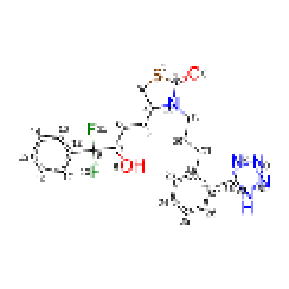 O=C1SCC(C=CC(O)C(F)(F)c2ccccc2)N1CCCc1ccccc1-c1nnn[nH]1